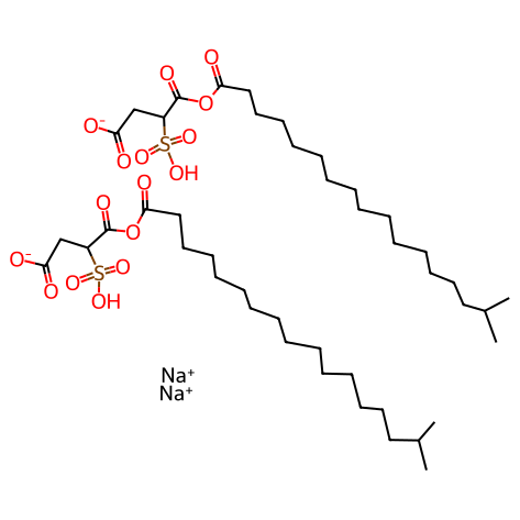 CC(C)CCCCCCCCCCCCCCC(=O)OC(=O)C(CC(=O)[O-])S(=O)(=O)O.CC(C)CCCCCCCCCCCCCCC(=O)OC(=O)C(CC(=O)[O-])S(=O)(=O)O.[Na+].[Na+]